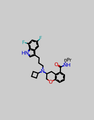 CCCNC(=O)c1cccc2c1CC(N(CCCc1c[nH]c3c(F)cc(F)cc13)C1CCC1)CO2